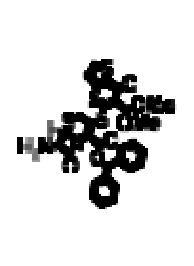 COC(OC)c1c(SC2=C(C(=O)OC(c3ccccc3)c3ccccc3)N3C(=O)[C@@H](N)[C@@H]3SC2)sc2ccsc2c1=O